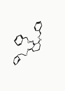 c1ccc(CO/N=C2/CCCC(=N\OCc3ccccc3)/C2=N\OCc2ccccc2)cc1